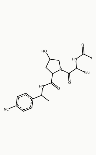 CC(NC(=O)C1CC(O)CN1C(=O)C(NC(=O)I)C(C)(C)C)c1ccc(C#N)cc1